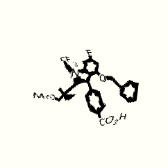 COCC(C)(C)c1c(-c2ccc(C(=O)O)cc2)c2c(OCc3ccccc3)cc(F)cc2n1CC(F)(F)F